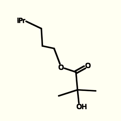 CC(C)CCCOC(=O)C(C)(C)O